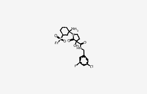 CCS(=O)(=O)C1CCCC(N)(N2CCC(O)(C(=O)NCc3cc(F)cc(Cl)c3)C2=O)C1